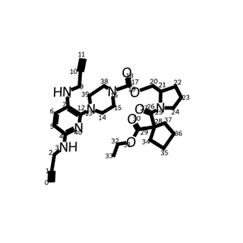 C#CCNc1ccc(NCC#C)c(N2CCN(C(=O)OCC3CCCN3C(=O)C3(C(=O)OCC)CCCC3)CC2)n1